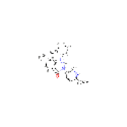 COc1ccc(N2CN([C@@H]3CCCC[C@@H]3C)c3cc(C(F)(F)F)ccc3C2=O)c(C)n1